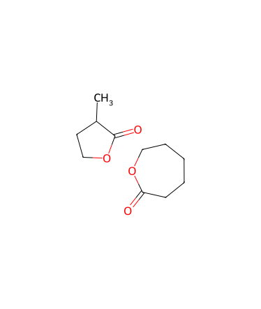 CC1CCOC1=O.O=C1CCCCCO1